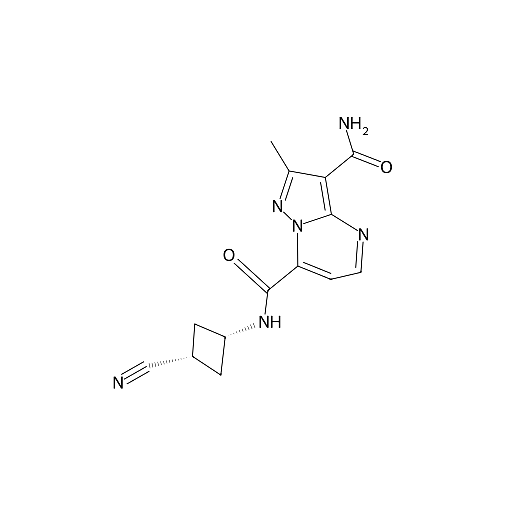 Cc1nn2c(C(=O)N[C@H]3C[C@@H](C#N)C3)ccnc2c1C(N)=O